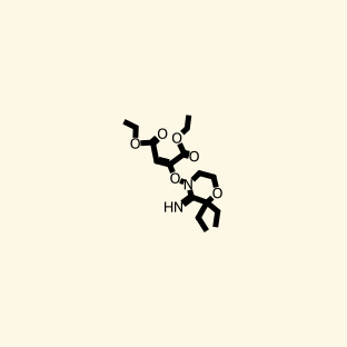 CCOC(=O)C=C(ON1CCOC(CC)(CC)C1=N)C(=O)OCC